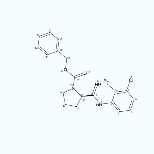 N=C(Nc1cccc(Cl)c1F)[C@H]1CCCN1C(=O)OCc1ccccc1